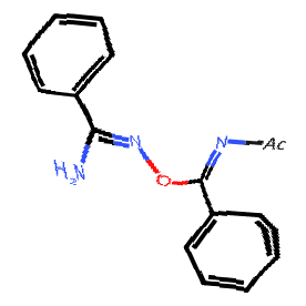 CC(=O)N=C(ON=C(N)c1ccccc1)c1ccccc1